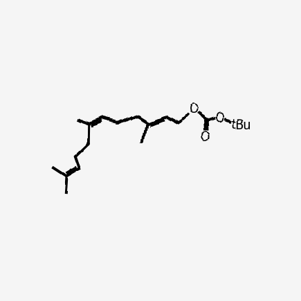 CC(C)=CCC/C(C)=C\CC/C(C)=C/COC(=O)OC(C)(C)C